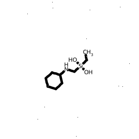 CC[Si](O)(O)CNC1CCCCC1